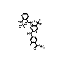 Cc1cc(Nc2ncc(C(F)(F)F)c(NCc3cccnc3N(C)S(C)(=O)=O)n2)ccc1C(N)=O